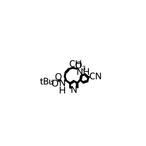 C[C@@H]1C=CC[C@H](NC(=O)OC(C)(C)C)c2cncc(c2)-c2ccc(C#N)cc2NC1=O